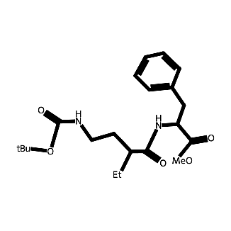 CCC(CCNC(=O)OC(C)(C)C)C(=O)NC(Cc1ccccc1)C(=O)OC